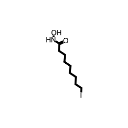 O=C(CCCCCCCCI)NO